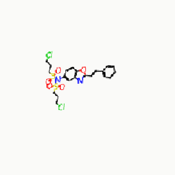 O=S(=O)(CCCCl)N(c1ccc2oc(/C=C/c3ccccc3)nc2c1)S(=O)(=O)CCCCl